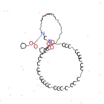 O=C(OCc1ccccc1)N1CCCCCCCCCCCCCCCCCCCCCCCCCCCCCCCCCCCCCCCCC2(CCCCCCCCCCCCCCCCCCCCCCCCCCCCCCCCCCCCCCCCCCCCCC23OCCO3)C(=O)N(Cc2ccccc2)CCC1